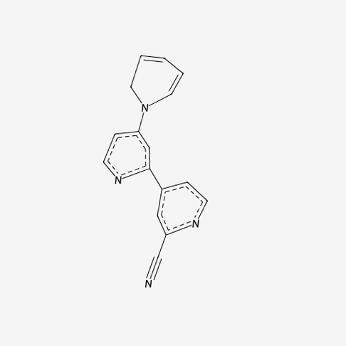 N#Cc1cc(-c2cc(N3C=CC=CC3)ccn2)ccn1